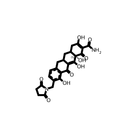 NC(=O)C1=C(O)CC2CC3Cc4ccc(CN5C(=O)CCC5=O)c(O)c4C(=O)C3=C(O)[C@]2(O)C1=O